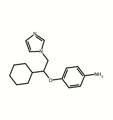 Nc1ccc(OC(Cn2ccnc2)C2CCCCC2)cc1